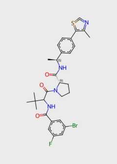 Cc1ncsc1-c1ccc([C@H](C)NC(=O)[C@@H]2CCCN2C(=O)C(NC(=O)c2cc(F)cc(Br)c2)C(C)(C)C)cc1